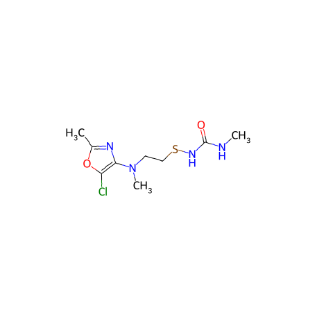 CNC(=O)NSCCN(C)c1nc(C)oc1Cl